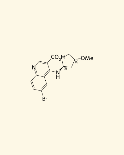 CO[C@H]1CC[C@H](Nc2c(C(=O)O)cnc3ccc(Br)cc23)C1